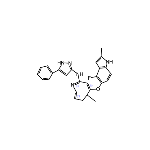 Cc1cc2c(F)c(O/C3=C/C(Nc4cc(-c5ccccc5)[nH]n4)=N\C=C\CC3C)ccc2[nH]1